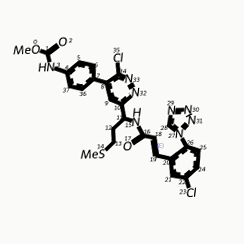 COC(=O)Nc1ccc(-c2cc(C(CCSC)NC(=O)/C=C/c3cc(Cl)ccc3-n3cnnn3)nnc2Cl)cc1